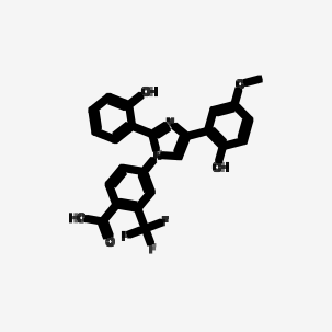 COc1ccc(O)c(-c2cn(-c3ccc(C(=O)O)c(C(F)(F)F)c3)c(-c3ccccc3O)n2)c1